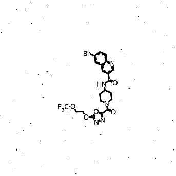 O=C(NC1CCN(C(=O)c2nnc(OCCOC(F)(F)F)o2)CC1)c1cnc2ccc(Br)cc2c1